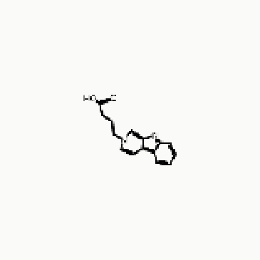 O=C(O)CCCn1ccc2c3ccccc3nc-2c1